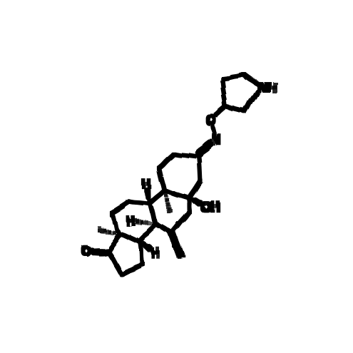 C=C1C[C@@]2(O)C/C(=N/OC3CCNC3)CC[C@]2(C)[C@H]2CC[C@]3(C)C(=O)CC[C@H]3[C@H]12